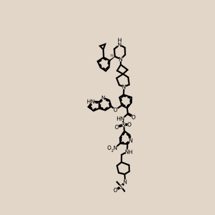 CS(C)(=O)=NC1CCC(CNc2ncc(S(=O)(=O)NC(=O)c3ccc(N4CCC5(CC4)CC(N4CCNC[C@@H]4c4ccccc4C4CC4)C5)cc3Oc3cnc4[nH]ccc4c3)cc2[N+](=O)[O-])CC1